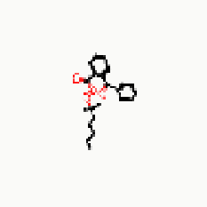 CCCCCC(C)(C)OOC(=O)c1ccccc1C(=O)c1ccccc1